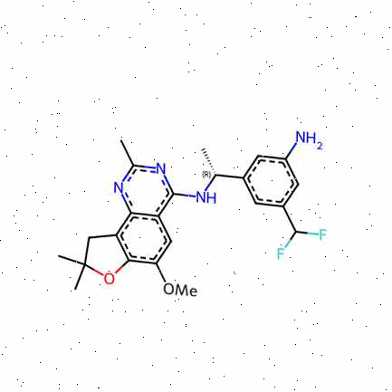 COc1cc2c(N[C@H](C)c3cc(N)cc(C(F)F)c3)nc(C)nc2c2c1OC(C)(C)C2